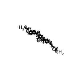 C=CC(=O)OCCCCOc1ccc(C(=O)Oc2ccc(OC(=O)c3ccc4cc(OC(=O)C=C)ccc4c3)c(CC)c2)cc1